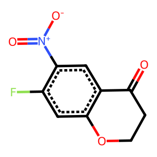 O=C1CCOc2cc(F)c([N+](=O)[O-])cc21